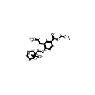 C=CCc1cc(C(=O)OCC)ccc1OCC1(O)CN2CCC1CC2